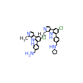 Cc1nccc2c1[nH]c1c(-c3ccc(CN)cc3)cc(Cl)cc12.Cc1nccc2c1[nH]c1c(-c3ccc(CNC4CCCC4)cc3)cc(Cl)cc12